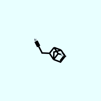 CC1C2C3C=CC1(C3)C2CC#N